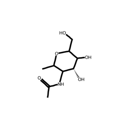 CC(=O)NC1C(C)OC(CO)C(O)[C@@H]1O